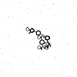 COc1ncc(-c2cccc(N(C[C@H]3CC[C@H](c4ccc(OC)c(C)c4)CC3)C(=O)[C@H]3CC[C@H](NC(C)=O)CC3)c2)s1